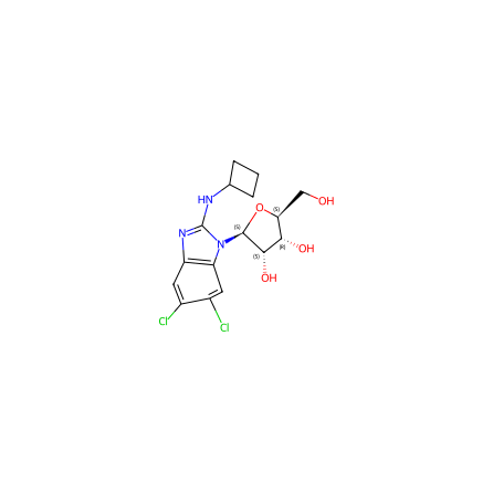 OC[C@@H]1O[C@H](n2c(NC3CCC3)nc3cc(Cl)c(Cl)cc32)[C@@H](O)[C@H]1O